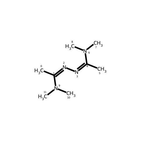 CC(=NN=C(C)N(C)C)N(C)C